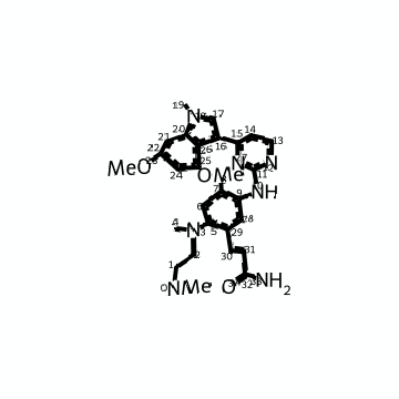 CNCCN(C)c1cc(OC)c(Nc2nccc(-c3cn(C)c4cc(OC)ccc34)n2)cc1C=CC(N)=O